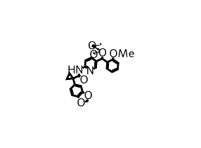 COc1ccccc1C(OS(C)(=O)=O)c1ccc(NC(=O)C2(c3ccc4c(c3)OCO4)CC2)nc1